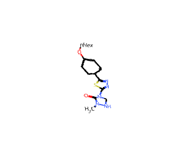 CCCCCCOC1CCC(c2nnc(N3CNN(C)C3=O)s2)CC1